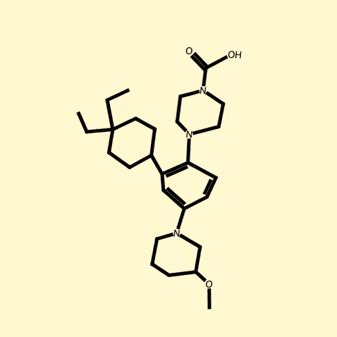 CCC1(CC)CCC(c2cc(N3CCCC(OC)C3)ccc2N2CCN(C(=O)O)CC2)CC1